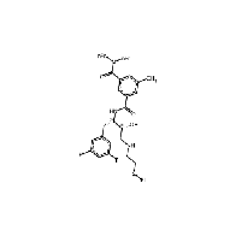 CCCN(CCC)C(=O)c1cc(C)cc(C(=O)N[C@@H](Cc2cc(F)cc(F)c2)[C@H](O)CNCCSCC)c1